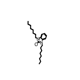 CCCCCCCCn1c(=O)n(CCCCCCCC)c2ccccc21